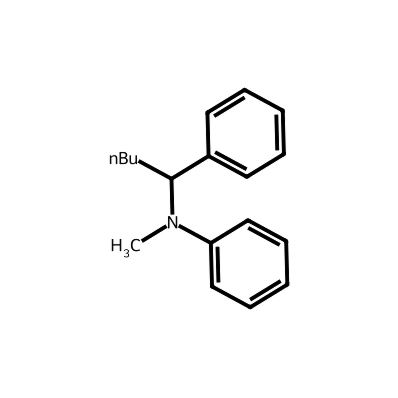 CCCCC(c1ccccc1)N(C)c1ccccc1